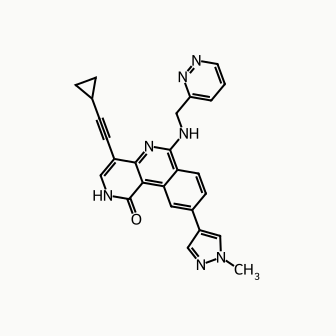 Cn1cc(-c2ccc3c(NCc4cccnn4)nc4c(C#CC5CC5)c[nH]c(=O)c4c3c2)cn1